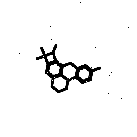 Cc1ccc2c(c1)Cc1c3c(cc4c1N2CCC4)C(C)(C)C3C